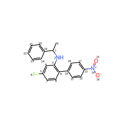 CC(Nc1cc(F)ccc1-c1ccc([N+](=O)[O-])cc1)c1ccccc1